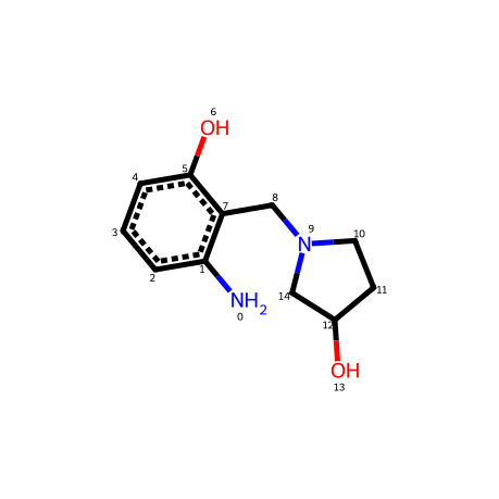 Nc1cccc(O)c1CN1CCC(O)C1